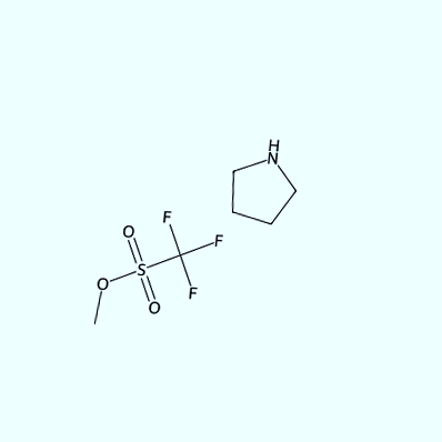 C1CCNC1.COS(=O)(=O)C(F)(F)F